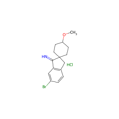 COC1CCC2(CC1)Cc1ccc(Br)cc1C2=N.Cl